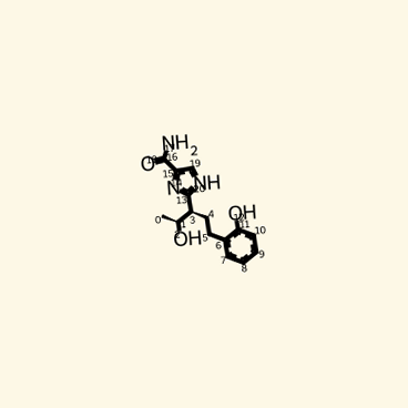 C[C@H](O)[C@H](CCc1ccccc1O)c1nc(C(N)=O)c[nH]1